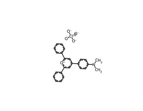 CN(C)c1ccc(-c2cc(-c3ccccc3)[o+]c(-c3ccccc3)c2)cc1.[O-][Cl+3]([O-])([O-])[O-]